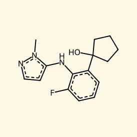 Cn1nccc1Nc1c(F)cccc1C1(O)CCCC1